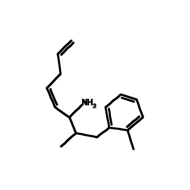 C=CC/C=C\C(N)C(C)Cc1ccccc1C